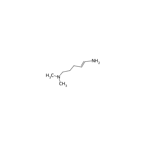 CN(C)CCCC=CN